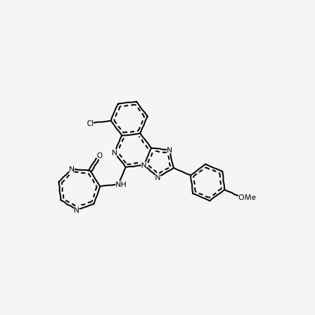 COc1ccc(-c2nc3c4cccc(Cl)c4nc(Nc4cnccnc4=O)n3n2)cc1